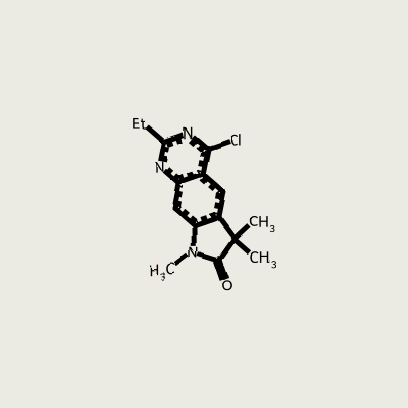 CCc1nc(Cl)c2cc3c(cc2n1)N(C)C(=O)C3(C)C